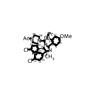 COc1ccc(C2=N[C@@](C)(c3ccc(Cl)cc3)[C@@H](c3ccc(Cl)cc3)N2C(=O)N2CCN(C(C)=O)CC2)c(OC(C)C)c1